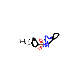 Cc1ccc(S(=O)(=O)NN2C=c3ccccc3=NC2)cc1